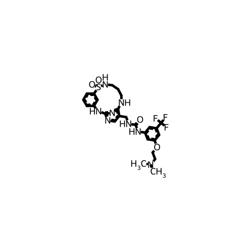 CN(C)CCOc1cc(NC(=O)NCc2cnc3nc2NCCCNS(=O)(=O)c2cccc(c2)N3)cc(C(F)(F)F)c1